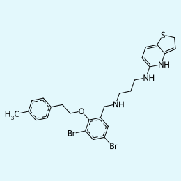 Cc1ccc(CCOc2c(Br)cc(Br)cc2CNCCCNC2=CC=C3SCC=C3N2)cc1